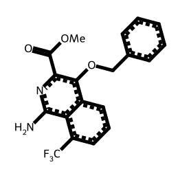 COC(=O)c1nc(N)c2c(C(F)(F)F)cccc2c1OCc1ccccc1